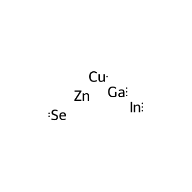 [Cu].[Ga].[In].[Se].[Zn]